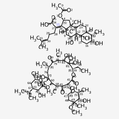 CC(=O)O[C@H]1C[C@@]2(C)[C@@H](C[C@@H](O)[C@H]3[C@@]4(C)CC[C@@H](O)[C@@H](C)[C@@H]4CC[C@@]32C)/C1=C(\CCC=C(C)C)C(=O)O.CC[C@H]1OC(=O)[C@H](C)[C@@H](O[C@H]2C[C@@](C)(OC)[C@@H](O)[C@H](C)O2)[C@H](C)[C@@H](O[C@@H]2O[C@H](C)C[C@H](N(C)C)[C@H]2O)[C@](C)(O)C[C@@H](C)C(=O)[C@H](C)[C@@H](O)[C@]1(C)O